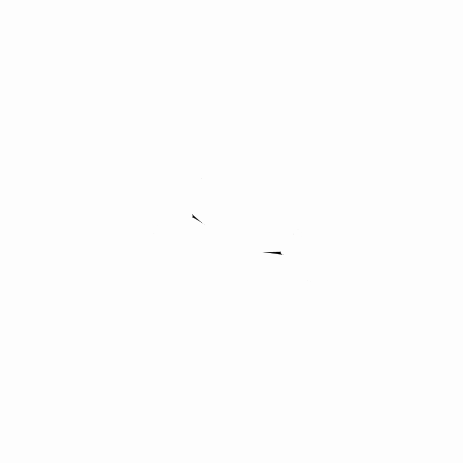 CC(C)C(=O)[C@@H]1CC[C@H](C(=O)C(C)C)C1